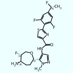 C[C@@H](F)c1cc(F)c(-c2nc(C(=O)Nc3cnn(C)c3[C@@H]3CC[C@@H](N)[C@H](F)CO3)cs2)c(F)c1